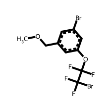 COCc1cc(Br)cc(OC(F)(F)C(F)(F)Br)c1